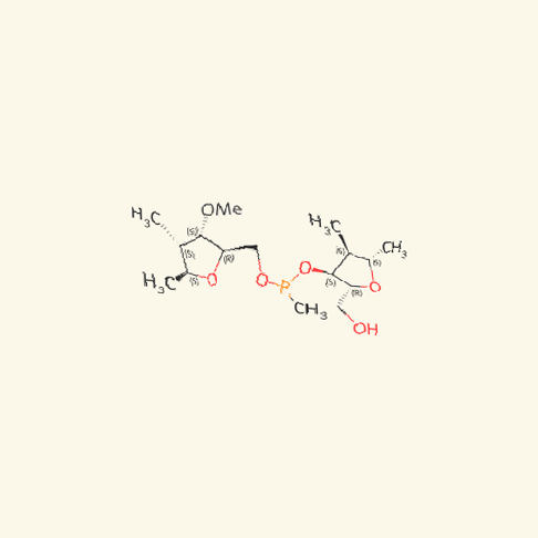 CO[C@H]1[C@@H](C)[C@H](C)O[C@@H]1COP(C)O[C@H]1[C@@H](C)[C@H](C)O[C@@H]1CO